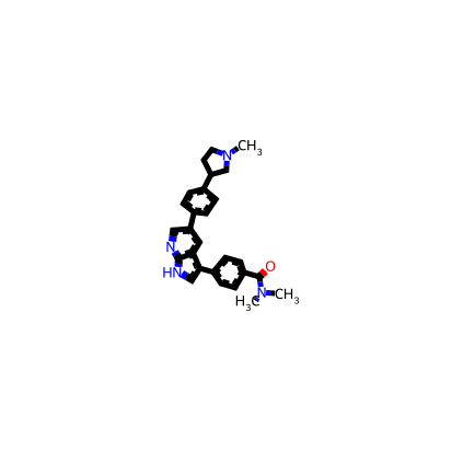 CN1CCC(c2ccc(-c3cnc4[nH]cc(-c5ccc(C(=O)N(C)C)cc5)c4c3)cc2)C1